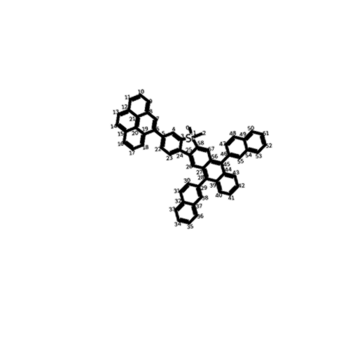 C[Si]1(C)c2cc(-c3cc4cccc5ccc6cccc3c6c54)ccc2-c2cc3c(-c4ccc5ccccc5c4)c4ccccc4c(-c4ccc5ccccc5c4)c3cc21